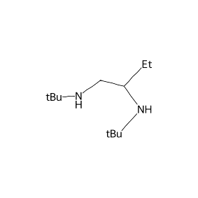 CCC(CNC(C)(C)C)NC(C)(C)C